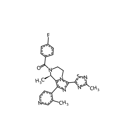 Cc1nsc(-c2nc(-c3ccncc3C)c3n2CCN(C(=O)c2ccc(F)cc2)[C@@H]3C)n1